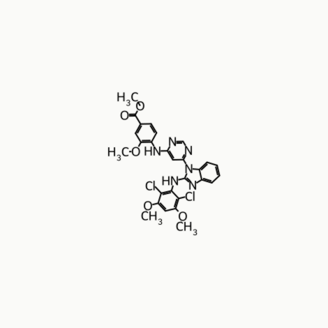 COC(=O)c1ccc(Nc2cc(-n3c(Nc4c(Cl)c(OC)cc(OC)c4Cl)nc4ccccc43)ncn2)c(OC)c1